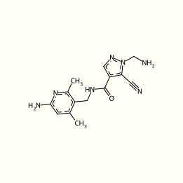 Cc1cc(N)nc(C)c1CNC(=O)c1cnn(CN)c1C#N